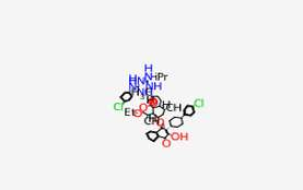 CC(C)NC(=N)NC(=N)Nc1ccc(Cl)cc1.CCO[C@H]1O[C@@H]2OC3(C)CC[C@H]4[C@H](C)CC[C@@H]([C@H]1C)[C@@]24OO3.O=C1C(O)=C([C@H]2CC[C@H](c3ccc(Cl)cc3)CC2)C(=O)c2ccccc21